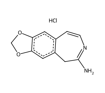 Cl.NC1=NC=Cc2cc3c(cc2C1)OCO3